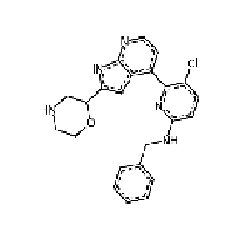 Clc1ccc(NCc2ccccc2)nc1-c1ccnc2[nH]c(C3CNCCO3)cc12